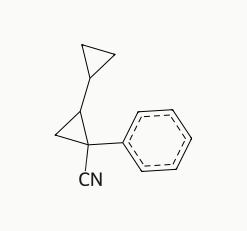 N#CC1(c2ccccc2)CC1C1CC1